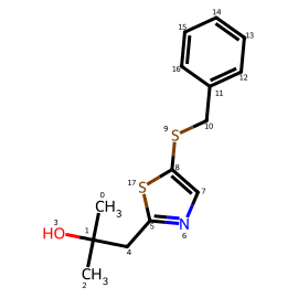 CC(C)(O)Cc1ncc(SCc2ccccc2)s1